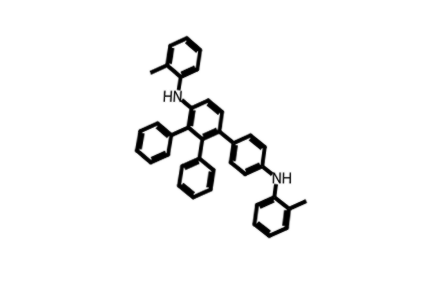 Cc1ccccc1Nc1ccc(-c2ccc(Nc3ccccc3C)c(-c3ccccc3)c2-c2ccccc2)cc1